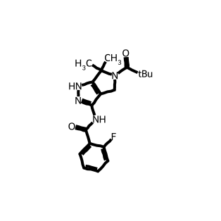 CC(C)(C)C(=O)N1Cc2c(NC(=O)c3ccccc3F)n[nH]c2C1(C)C